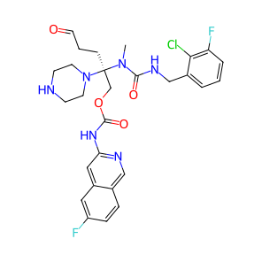 CN(C(=O)NCc1cccc(F)c1Cl)[C@@](CCC=O)(COC(=O)Nc1cc2cc(F)ccc2cn1)N1CCNCC1